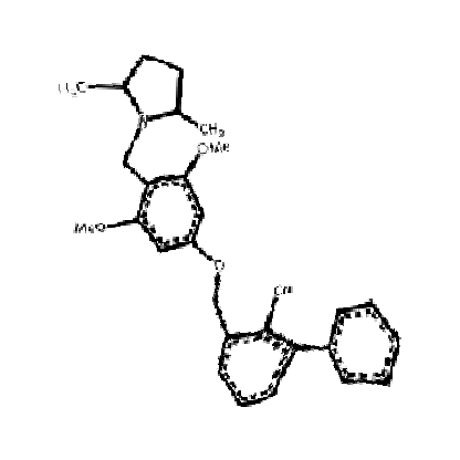 COc1cc(OCc2cccc(-c3ccccc3)c2C#N)cc(OC)c1CN1C(C)CCC1C